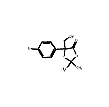 CC1(C)OC(=O)C(CO)(c2ccc(Br)cc2)O1